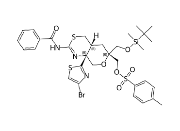 Cc1ccc(S(=O)(=O)OC[C@]2(CO[Si](C)(C)C(C)(C)C)C[C@H]3CSC(NC(=O)c4ccccc4)=N[C@@]3(c3nc(Br)cs3)CO2)cc1